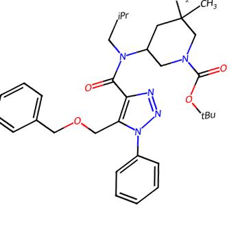 CC(C)CN(C(=O)c1nnn(-c2ccccc2)c1COCc1ccccc1)C1CN(C(=O)OC(C)(C)C)CC(C)(C(=O)O)C1